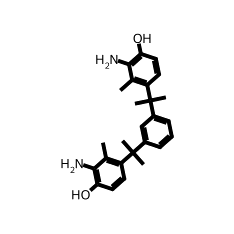 Cc1c(C(C)(C)c2cccc(C(C)(C)c3ccc(O)c(N)c3C)c2)ccc(O)c1N